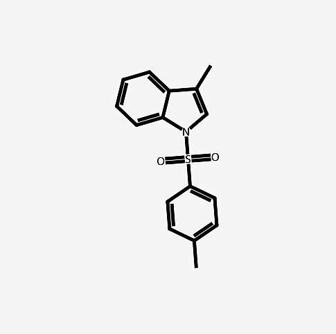 Cc1ccc(S(=O)(=O)n2cc(C)c3ccccc32)cc1